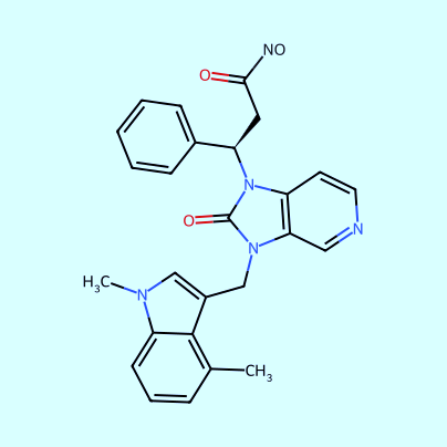 Cc1cccc2c1c(Cn1c(=O)n([C@H](CC(=O)N=O)c3ccccc3)c3ccncc31)cn2C